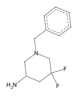 NC1CN(Cc2ccccc2)CC(F)(F)C1